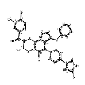 Cc1nnc(-c2ccc(-n3c(=O)c4c(n5ncc(Cc6ccccc6)c35)CN(C(=O)c3ccc(Br)c(Cl)c3)[C@@H](C)C4)cc2)[nH]1